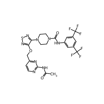 CC(=O)Nc1nccc(COc2nsnc2N2CCN(C(=O)Nc3cc(C(F)(F)F)cc(C(F)(F)F)c3)CC2)n1